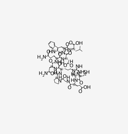 CC(C)C[C@H](NC(=O)[C@H](Cc1c[nH]c2ccccc12)NC(=O)[C@H](CC(=O)O)NC(=O)[C@H](CCC(N)=O)NC(=O)[C@H](CC(N)=O)NC(=O)[C@H](CCCNC(=N)N)NC(=O)[C@@H]1CCCN1C(=O)CNC(=O)[C@H](CCC(=O)O)NC(=O)[C@@H](N)CS)C(=O)O